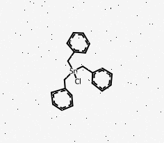 [Cl][Sn]([CH2]c1ccccc1)([CH2]c1ccccc1)[CH2]c1ccccc1